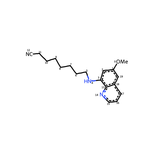 COc1cc(NCCCCCCCC#N)c2ncccc2c1